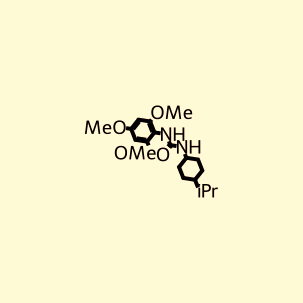 COc1cc(OC)c(NC(=O)NC2CCC(C(C)C)CC2)c(OC)c1